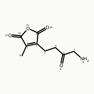 CC1=C(CCC(=O)CN)C(=O)OC1=O